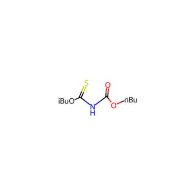 CCCCOC(=O)NC(=S)OCC(C)C